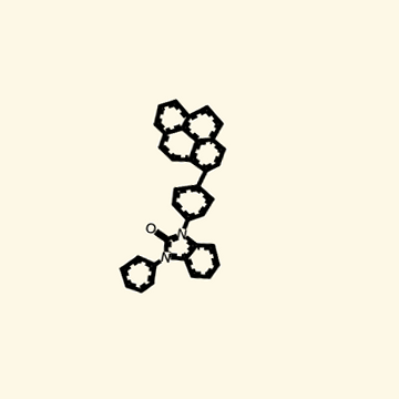 O=c1n(-c2ccccc2)c2ccccc2n1-c1ccc(-c2ccc3ccc4cccc5ccc2c3c45)cc1